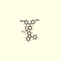 CC(C)(C)c1ccc(N(c2ccc(C(C)(C)C)cc2)c2ccc3c(c2)C(C)(C)c2cc4c5ccccc5n(-c5ccccc5)c4cc2-3)cc1